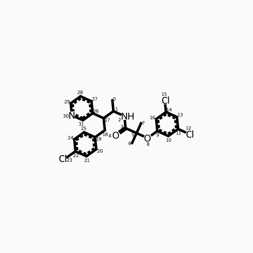 CC(NC(=O)C(C)(C)Oc1cc(Cl)cc(Cl)c1)C(Cc1ccc(Cl)cc1)c1cccnc1